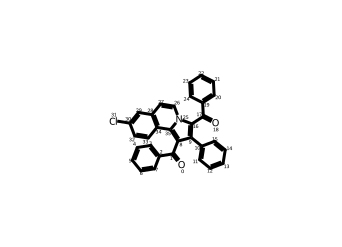 O=C(c1ccccc1)c1c(-c2ccccc2)c(C(=O)c2ccccc2)n2ccc3cc(Cl)ccc3c12